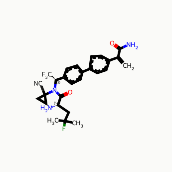 C=C(C(N)=O)c1ccc(-c2ccc([C@H](N(C(=O)[C@@H](N)CC(C)(C)F)C3(C#N)CC3)C(F)(F)F)cc2)cc1